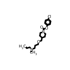 C=CCN(C)CCCOCC1CCN(C(=O)Oc2ccc(Cl)cc2)CC1